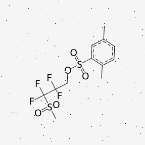 Cc1ccc(C)c(S(=O)(=O)OCC(F)(F)C(F)(F)S(C)(=O)=O)c1